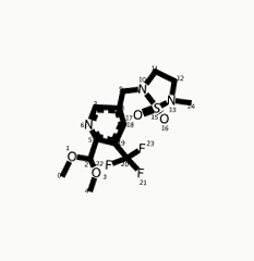 COC(OC)c1ncc(CN2CCN(C)S2(=O)=O)cc1C(F)(F)F